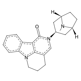 CN1[C@@H]2CC[C@H]1C[C@H](n1cc3c4c(c1=O)c1ccccc1n4CCC3)C2